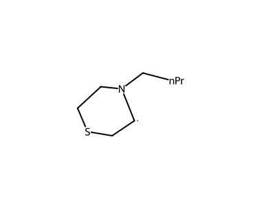 CCCCN1[CH]CSCC1